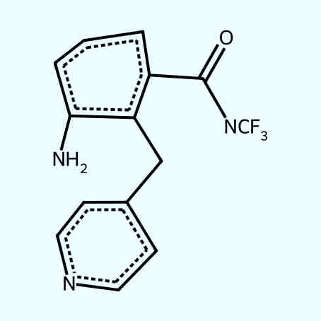 Nc1cccc(C(=O)NC(F)(F)F)c1Cc1ccncc1